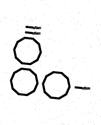 C1CCCCCCCCC1.C1CCCCCCCCC1.C1CCCCCCCCC1.CCCCCCCCCC.CCCCCCCCCC.CCCCCCCCCC